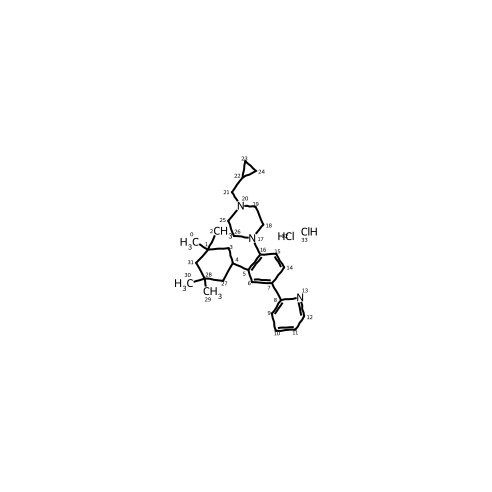 CC1(C)CC(c2cc(-c3ccccn3)ccc2N2CCN(CC3CC3)CC2)CC(C)(C)C1.Cl.Cl